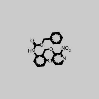 Cc1cccc(NC(=O)OCc2ccccc2)c1COc1cccnc1[N+](=O)[O-]